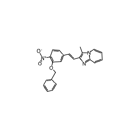 Cc1c(C=Cc2ccc([N+](=O)[O-])c(OCc3ccccc3)c2)nc2ccccn12